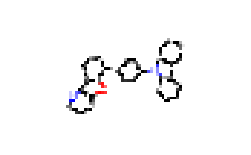 c1cnc2c(c1)oc1c(-c3ccc(-n4c5ccccc5c5ccccc54)cc3)cccc12